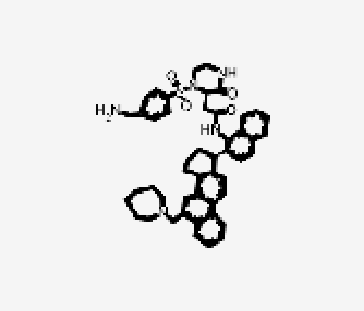 NCc1ccc(S(=O)(=O)N2CCNC(=O)[C@H]2CC(=O)Nc2c([C@@H]3CCCc4c3ccc3c4cc(CN4CCCCCC4)c4ccccc43)ccc3ccccc23)cc1